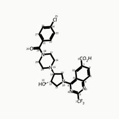 O=C(O)c1ccc2nc(C(F)(F)F)nc(N3C[C@H](O)[C@@H](N4CCN(C(=O)c5ccc(Cl)cc5)CC4)C3)c2c1